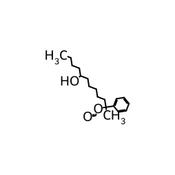 CCCCC(O)CCCCCC(C)(OC=O)c1ccccc1